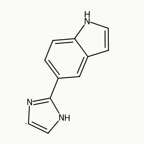 [c]1c[nH]c(-c2ccc3[nH]ccc3c2)n1